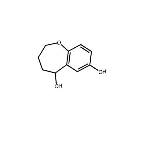 Oc1ccc2c(c1)C(O)CCCO2